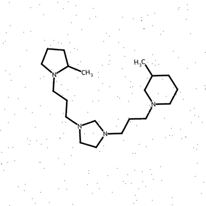 CC1CCCN(CCCN2CCN(CCCN3CCCC3C)C2)C1